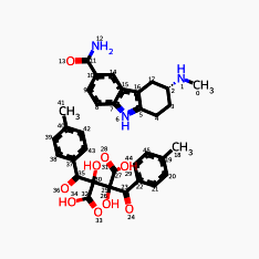 CN[C@@H]1CCc2[nH]c3ccc(C(N)=O)cc3c2C1.Cc1ccc(C(=O)C(O)(C(=O)O)C(O)(C(=O)O)C(=O)c2ccc(C)cc2)cc1